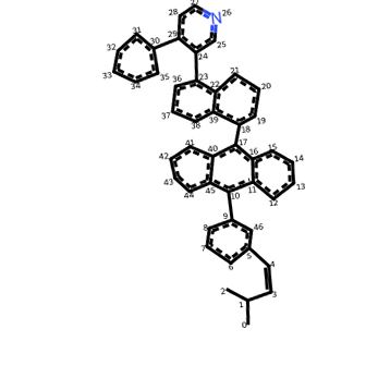 CC(C)/C=C\c1cccc(-c2c3ccccc3c(-c3cccc4c(-c5cnccc5-c5ccccc5)cccc34)c3ccccc23)c1